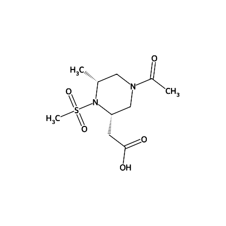 CC(=O)N1C[C@H](CC(=O)O)N(S(C)(=O)=O)[C@H](C)C1